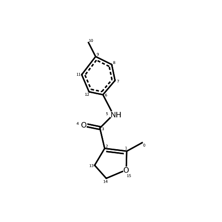 CC1=C(C(=O)Nc2ccc(C)cc2)CCO1